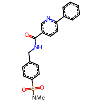 CNS(=O)(=O)c1ccc(CNC(=O)c2ccc(-c3ccccc3)nc2)cc1